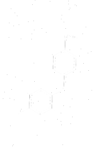 CCCCCc1ccc(Sc2ccc(C)cc2)cc1